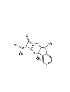 CCCN1C2=CC3=C(OC2(C)c2ccccc21)C(=C(C#N)C#N)C3=O